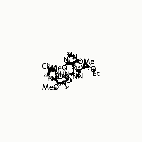 CCO[C@H]1C[C@@H]1c1nnc(NS(=O)(=O)[C@@H](C)[C@H](OC)c2ncc(Cl)cn2)n1-c1c(OC)ncnc1OC